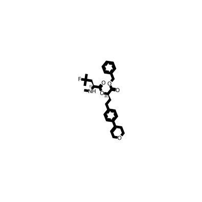 CN[C@@H](CC(C)(C)F)C(=O)O[C@H](CCc1ccc(C2=CCOCC2)cc1)C(=O)OCc1ccccc1